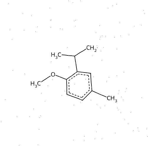 [CH2]C(C)c1cc(C)ccc1OC